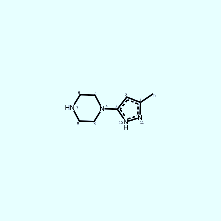 Cc1cc(N2CCNCC2)[nH]n1